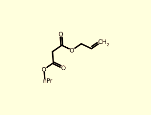 C=CCOC(=O)CC(=O)OCCC